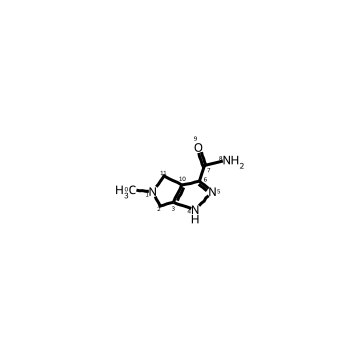 CN1Cc2[nH]nc(C(N)=O)c2C1